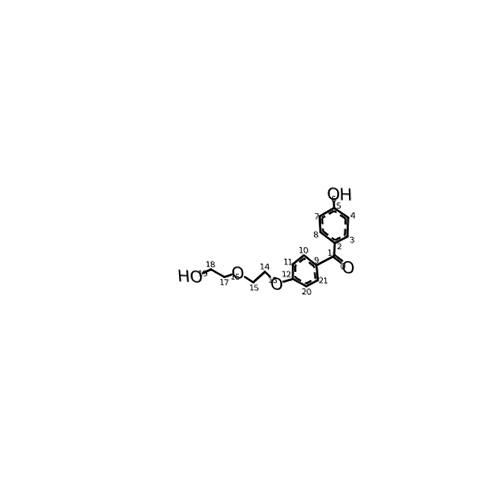 O=C(c1ccc(O)cc1)c1ccc(OCCOCCO)cc1